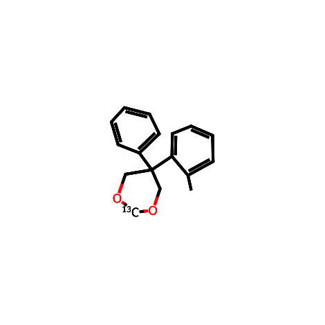 Cc1ccccc1C1(c2ccccc2)CO[13CH2]OC1